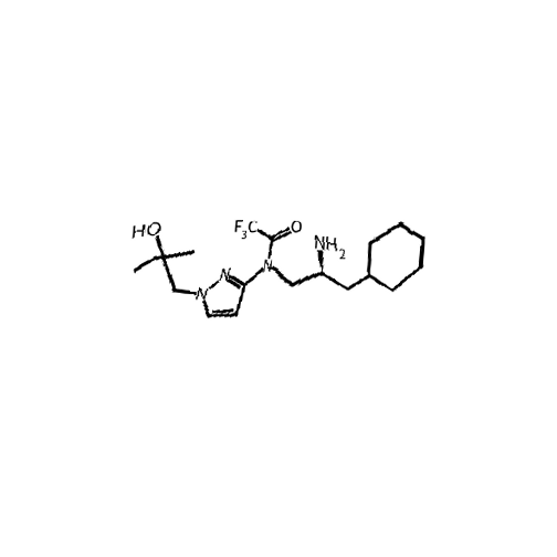 CC(C)(O)Cn1ccc(N(C[C@@H](N)CC2CCCCC2)C(=O)C(F)(F)F)n1